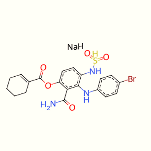 NC(=O)c1c(OC(=O)C2=CCCCC2)ccc(N[SH](=O)=O)c1Nc1ccc(Br)cc1.[NaH]